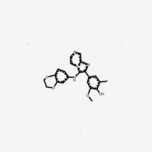 COc1cc(-c2nc3cnccn3c2Nc2ccc3c(c2)OCCO3)cc(F)c1O